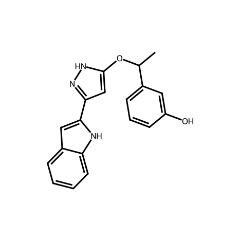 CC(Oc1cc(-c2cc3ccccc3[nH]2)n[nH]1)c1cccc(O)c1